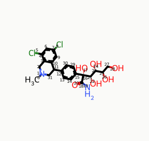 CN1Cc2c(Cl)cc(Cl)cc2C(c2ccc([C@](O)(C(N)=O)[C@@H](O)[C@H](O)[C@H](O)CO)cc2)C1